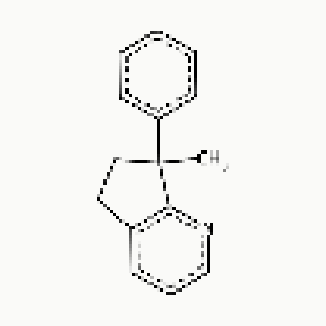 CC1(c2ccccc2)CCc2cccnc21